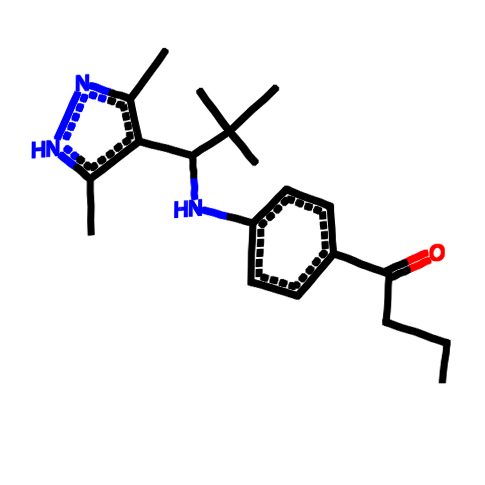 CCCC(=O)c1ccc(NC(c2c(C)n[nH]c2C)C(C)(C)C)cc1